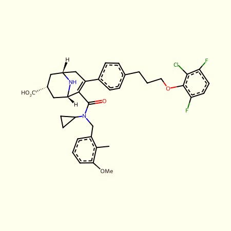 COc1cccc(CN(C(=O)C2=C(c3ccc(CCCOc4c(F)ccc(F)c4Cl)cc3)C[C@H]3C[C@@H](C(=O)O)C[C@@H]2N3)C2CC2)c1C